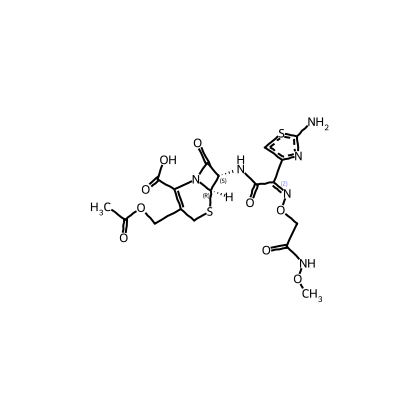 CONC(=O)CO/N=C(\C(=O)N[C@H]1C(=O)N2C(C(=O)O)=C(COC(C)=O)CS[C@H]12)c1csc(N)n1